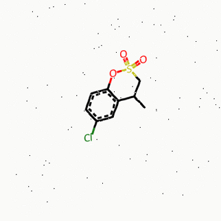 CC1CS(=O)(=O)Oc2ccc(Cl)cc21